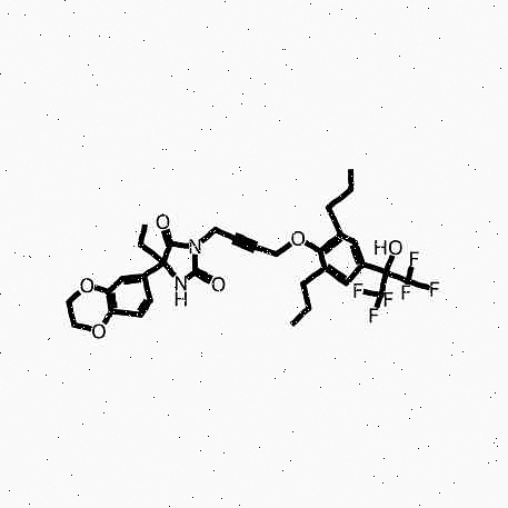 CCCc1cc(C(O)(C(F)(F)F)C(F)(F)F)cc(CCC)c1OCC#CCN1C(=O)NC(CC)(c2ccc3c(c2)OCCO3)C1=O